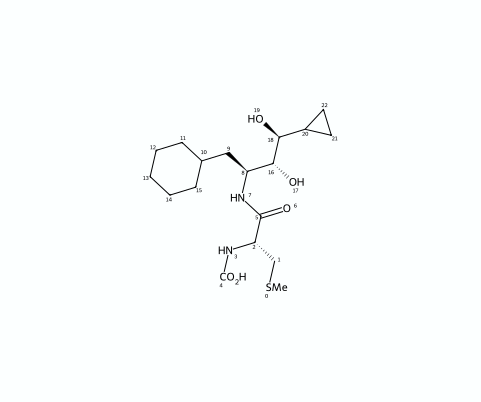 CSC[C@H](NC(=O)O)C(=O)N[C@@H](CC1CCCCC1)[C@@H](O)[C@@H](O)C1CC1